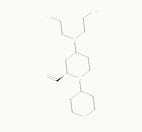 O=C[C@H]1CC(N(CCO)CCO)CCN1C1CCNCC1